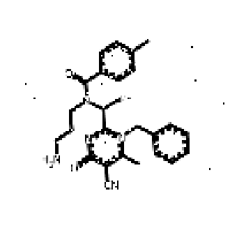 Cc1ccc(C(=O)N(CCCN)C(c2nc(=O)c(C#N)c(C)n2Cc2ccccc2)C(C)C)cc1